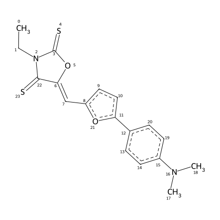 CCN1C(=S)O/C(=C\c2ccc(-c3ccc(N(C)C)cc3)o2)C1=S